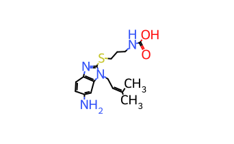 CC(C)=CCn1c(SCCCNC(=O)O)nc2ccc(N)cc21